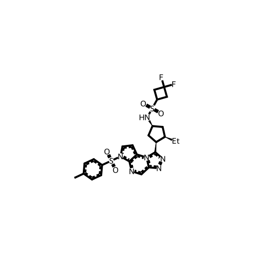 CC[C@@H]1C[C@H](NS(=O)(=O)C2CC(F)(F)C2)C[C@@H]1c1nnc2cnc3c(ccn3S(=O)(=O)c3ccc(C)cc3)n12